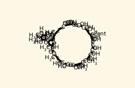 CCCCCC1/C=C(\C)[C@@H](O)C[C@H](O)CCC[C@H](O)[C@@H](C)[C@H](O)C/C=C/C=C(\C)[C@@H](O)[C@H](C)[C@@H]2C[C@H](OC3O[C@H](C)[C@@H](O)[C@H](N(C)C)[C@H]3O)[C@@H](C)C(O)(CC(=O)OC(C)/C=C/[C@@H](O)C[C@@H](O)CCC[C@H](O)[C@@H](C)[C@H](O)CC[C@H](C)[C@H](O)C[C@@H](O)C[C@H](O)CCC(O)[C@@H]1O)O2